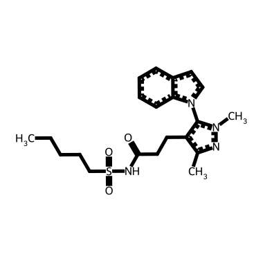 CCCCCS(=O)(=O)NC(=O)CCc1c(C)nn(C)c1-n1ccc2ccccc21